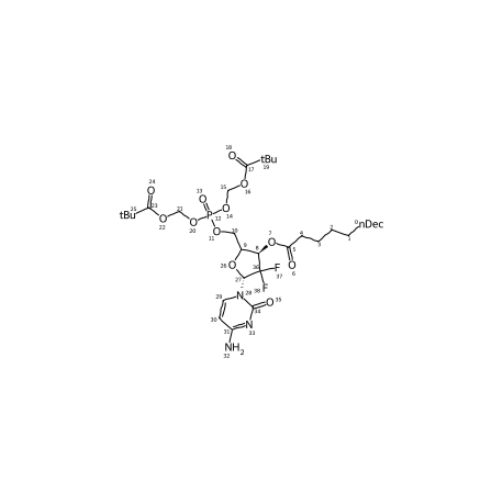 CCCCCCCCCCCCCCC(=O)O[C@@H]1C(COP(=O)(OCOC(=O)C(C)(C)C)OCOC(=O)C(C)(C)C)O[C@@H](n2ccc(N)nc2=O)C1(F)F